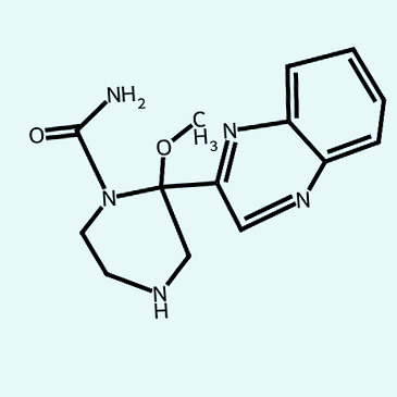 COC1(c2cnc3ccccc3n2)CNCCN1C(N)=O